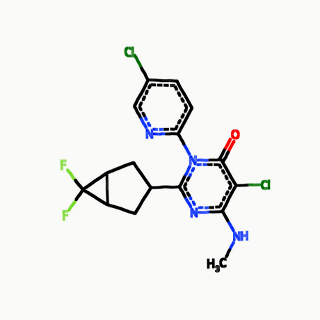 CNc1nc(C2CC3C(C2)C3(F)F)n(-c2ccc(Cl)cn2)c(=O)c1Cl